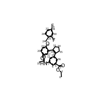 CCOC(=O)c1cc(NC(C)=O)cc(C2=C(c3cc(Cl)ccc3OCc3ccc(F)cc3F)CCC2)c1